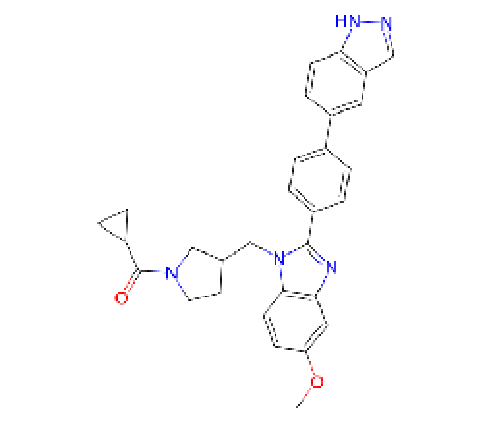 COc1ccc2c(c1)nc(-c1ccc(-c3ccc4[nH]ncc4c3)cc1)n2CC1CCN(C(=O)C2CC2)C1